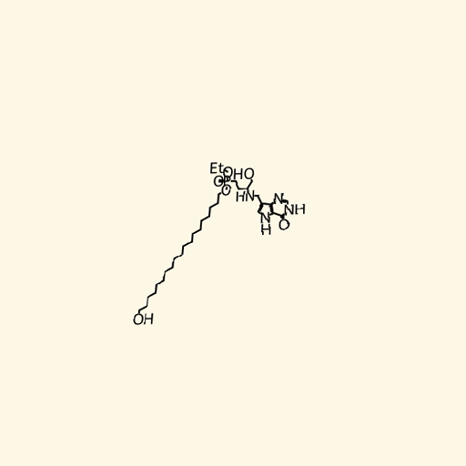 CCOP(=O)(CC[C@@H](CO)NCc1c[nH]c2c(=O)[nH]cnc12)OCCCCCCCCCCCCCCCCCCCO